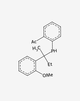 CCC(C)(Pc1ccccc1C(C)=O)c1ccccc1OC